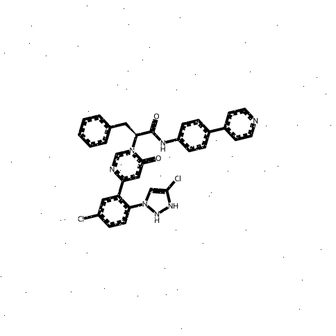 O=C(Nc1ccc(-c2ccncc2)cc1)[C@H](Cc1ccccc1)n1cnc(-c2cc(Cl)ccc2N2C=C(Cl)NN2)cc1=O